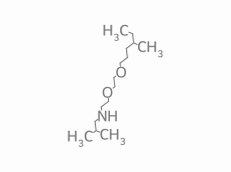 CCC(C)CCCOCCOCCNCC(C)C